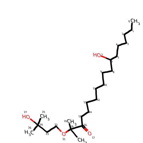 CCCCCCC(O)CCCCCCCCC(=O)C(C)(C)OCCC(C)(C)O